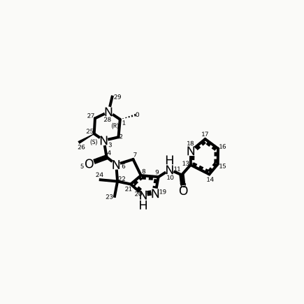 C[C@@H]1CN(C(=O)N2Cc3c(NC(=O)c4ccccn4)n[nH]c3C2(C)C)[C@@H](C)CN1C